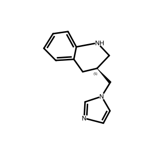 c1ccc2c(c1)C[C@H](Cn1ccnc1)CN2